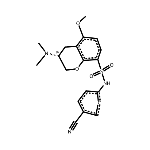 COc1ccc(S(=O)(=O)Nc2ccc(C#N)cc2)c2c1C[C@@H](N(C)C)CO2